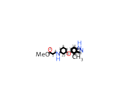 COC(=O)CCN[C@@H]1CCC[C@H](Oc2ccc3[nH]ncc3c2C)C1